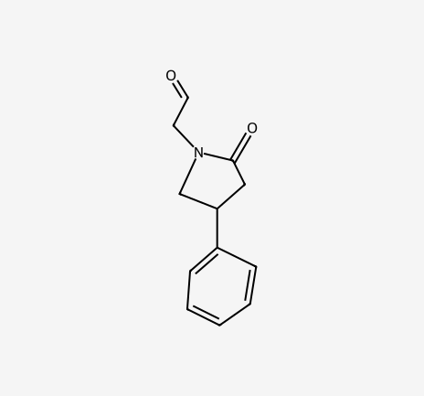 O=CCN1CC(c2ccccc2)CC1=O